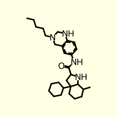 CCCCCN1CNc2ccc(NC(=O)C3CC4(C5CCCCC5)CCCC(C)C4N3)cc2C1